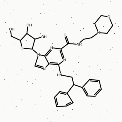 O=C(NCCN1CCOCC1)c1nc(NCC(c2ccccc2)c2ccccc2)c2ncn(C3OC(CO)C(O)C3O)c2n1